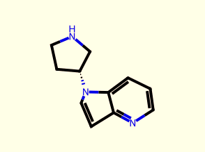 c1cnc2ccn([C@@H]3CCNC3)c2c1